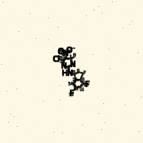 Cc1nc(NC2CCc3c(F)cc(F)cc32)nc(Cl)c1[N+](=O)[O-]